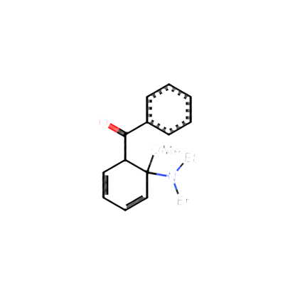 CCN(CC)C1(OC)C=CC=CC1C(=O)c1ccccc1